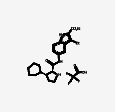 CCOC(=O)c1[nH]c2ccc(NC(=O)[C@H]3NCC[C@H]3C3CCCCC3)cc2c1CC.O=C(O)C(F)(F)F